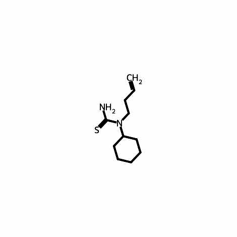 C=CCCN(C(N)=S)C1CCCCC1